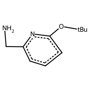 CC(C)(C)Oc1cccc(CN)n1